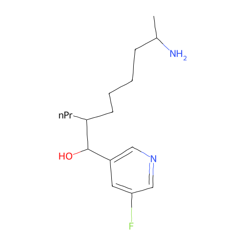 CCCC(CCCCC(C)N)C(O)c1cncc(F)c1